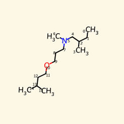 CCC(C)CN(C)CCCOCCC(C)C